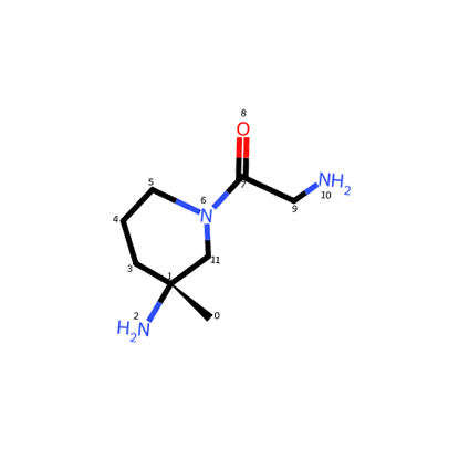 C[C@@]1(N)CCCN(C(=O)CN)C1